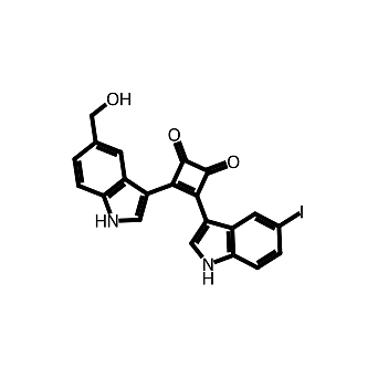 O=c1c(-c2c[nH]c3ccc(I)cc23)c(-c2c[nH]c3ccc(CO)cc23)c1=O